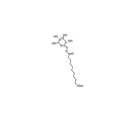 CCCCCCCCCCCCCCCCCCCC(=O)OC[C@H]1OC(O)[C@H](O)[C@@H](O)[C@@H]1O